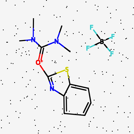 CN(C)C(=[O+]c1nc2ccccc2s1)N(C)C.F[B-](F)(F)F